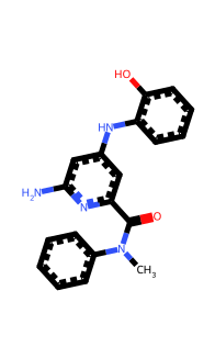 CN(C(=O)c1cc(Nc2ccccc2O)cc(N)n1)c1ccccc1